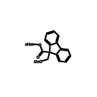 CCCCCCOC(=O)C1(COC)c2ccccc2-c2ccccc21